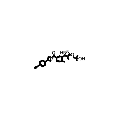 C#Cc1ccc(C2CN(C(=O)c3ccc(C)c(-c4[nH]nc(OCC(C)(C)O)c4C)c3)C2)cc1